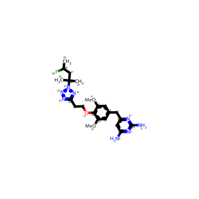 COc1cc(Cc2cc(N)nc(N)n2)cc(OC)c1OCCc1nnn(C(C)(C)CC(C)F)n1